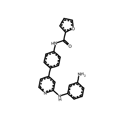 Nc1cccc(Nc2cc(-c3ccc(NC(=O)c4ccco4)cc3)ccn2)c1